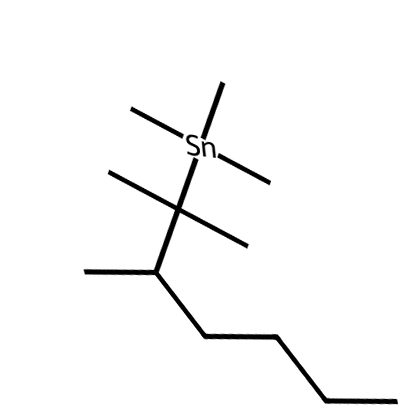 CCCCC(C)[C](C)(C)[Sn]([CH3])([CH3])[CH3]